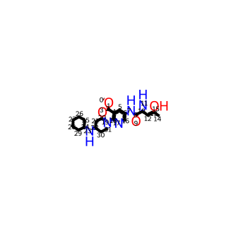 COC(=O)c1cc(NC(=O)C(=N)/C=C(/C)O)cnc1N1CCC(NC2CCCCC2)CC1